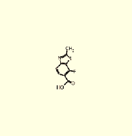 Cc1nc2ccc(C(=O)O)c(F)c2s1